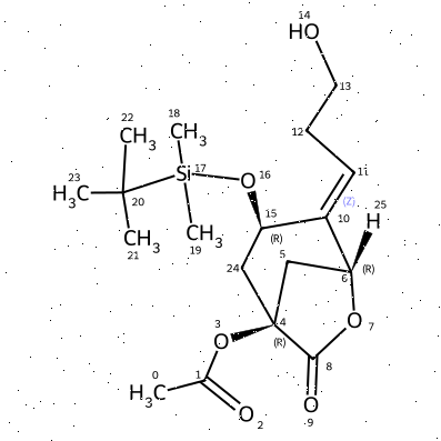 CC(=O)O[C@@]12C[C@@H](OC1=O)/C(=C/CCO)[C@H](O[Si](C)(C)C(C)(C)C)C2